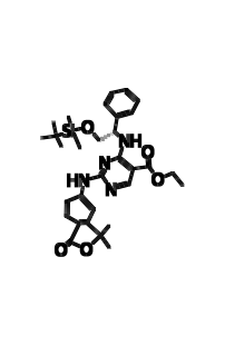 CCOC(=O)c1cnc(Nc2ccc3c(c2)C(C)(C)OC3=O)nc1N[C@H](CO[Si](C)(C)C(C)(C)C)c1ccccc1